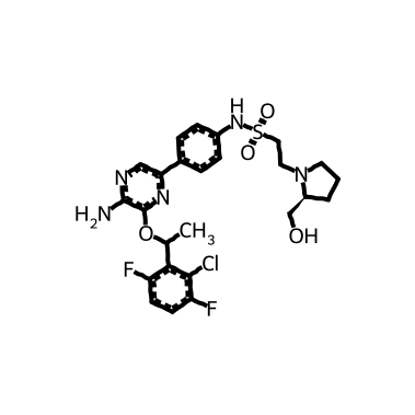 CC(Oc1nc(-c2ccc(NS(=O)(=O)CCN3CCC[C@H]3CO)cc2)cnc1N)c1c(F)ccc(F)c1Cl